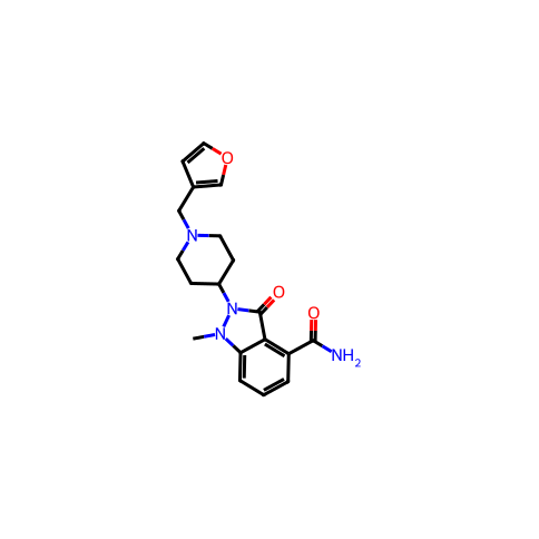 Cn1c2cccc(C(N)=O)c2c(=O)n1C1CCN(Cc2ccoc2)CC1